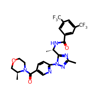 Cc1nc([C@H](C)NC(=O)c2cc(C(F)(F)F)cc(C(F)(F)F)c2)n(-c2ccc(C(=O)N3CCOC[C@@H]3C)cn2)n1